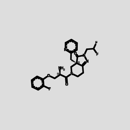 N[C@H](COc1ccccc1F)C(=O)N1CCC2=NN(CC(F)F)C(=O)[C@]2(Cc2ccccn2)C1